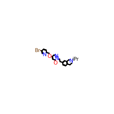 CC(C)N1CCc2ccc(CCn3ncc(OCc4ccc(Br)cn4)cc3=O)cc2C1